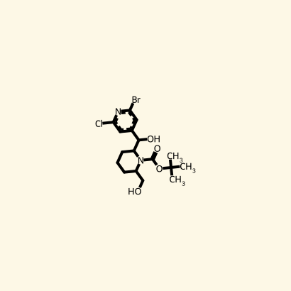 CC(C)(C)OC(=O)N1C(CO)CCCC1C(O)c1cc(Cl)nc(Br)c1